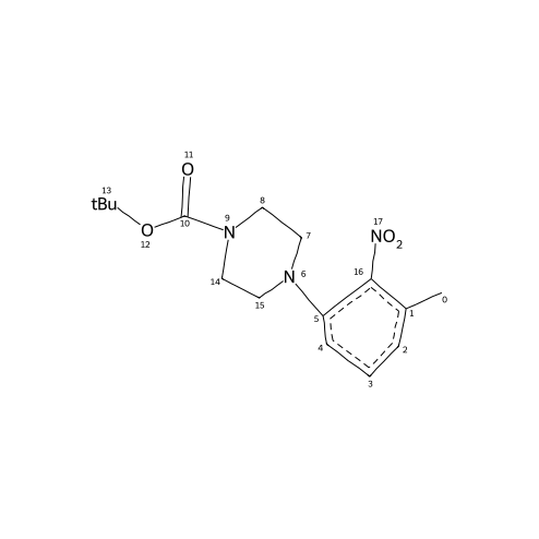 Cc1cccc(N2CCN(C(=O)OC(C)(C)C)CC2)c1[N+](=O)[O-]